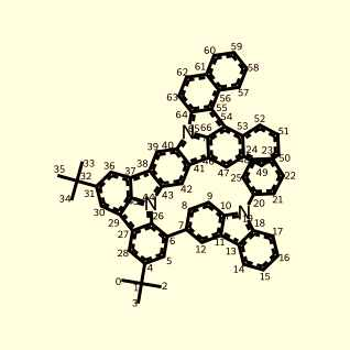 CC(C)(C)c1cc(-c2ccc3c(c2)c2ccccc2n3-c2ccccc2)c2c(c1)c1cc(C(C)(C)C)cc3c4cc5c(cc4n2c31)c1cc2ccccc2c2c3c4ccccc4ccc3n5c12